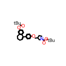 CC(C)(C)OC(=O)N1CCC(COc2ccc(C3=CCCCc4cc(OC(=O)C(C)(C)C)ccc43)cc2)C1